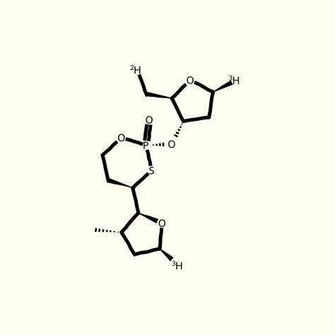 [2H]C[C@H]1O[C@@H]([3H])C[C@@H]1O[P@@]1(=O)OCC[C@H]([C@H]2O[C@@H]([3H])C[C@@H]2C)S1